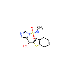 CNS(=O)(=O)n1cncc1C(O)c1cc2c(s1)CCCC2